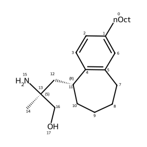 CCCCCCCCc1ccc2c(c1)CCCC[C@@H]2C[C@](C)(N)CO